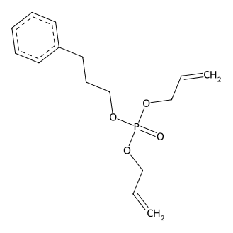 C=CCOP(=O)(OCC=C)OCCCc1ccccc1